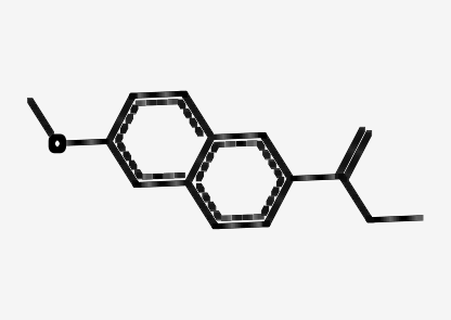 C=C(CC)c1ccc2cc(OC)ccc2c1